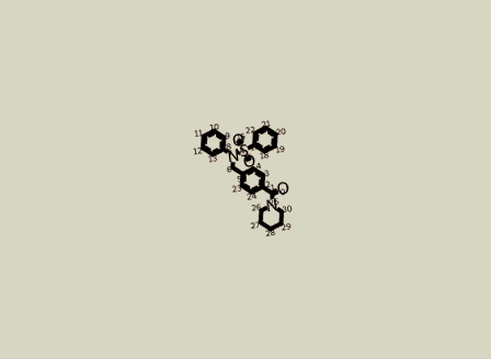 O=C(c1ccc(CN(c2ccccc2)S(=O)(=O)c2ccccc2)cc1)N1CCCCC1